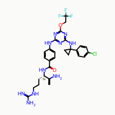 C=C(N)[C@H](CCCNC(=N)N)NC(=O)c1ccc(Nc2nc(NC3(c4ccc(Cl)cc4)CC3)nc(OCC(F)(F)F)n2)cc1